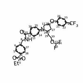 CCS(=O)(=O)c1ccc(CNC(=O)c2ccc(N3C[C@H](Oc4ccc(C(F)(F)F)cc4)C[C@H]3CCOC(F)F)cc2)cc1